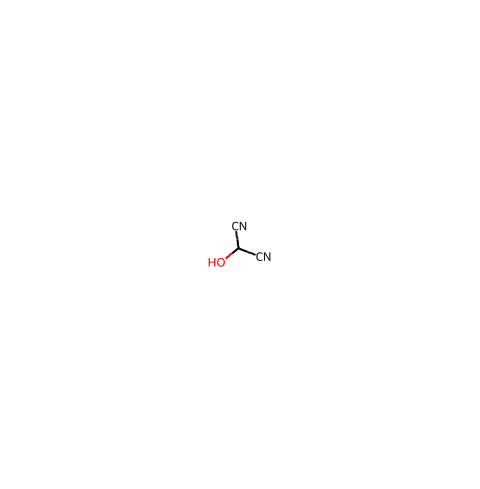 N#CC(O)C#N